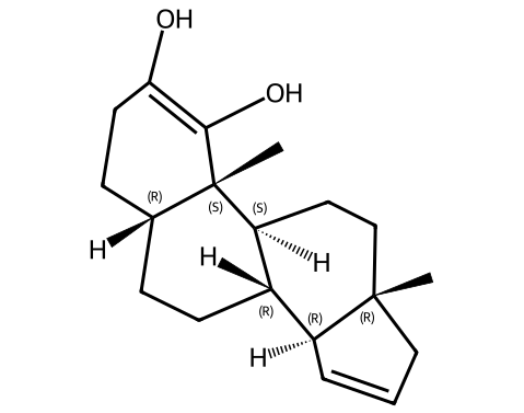 C[C@@]12CC=C[C@H]1[C@@H]1CC[C@@H]3CCC(O)=C(O)[C@]3(C)[C@H]1CC2